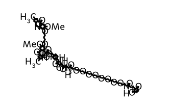 COc1cc2c(cc1OCCCCCOc1cc3c(cc1OC)C(=O)N1C=C(C)C[C@H]1[C@H](O)N3C(=O)OCc1ccc(NC(=O)[C@H](C)NC(=O)CNC(=O)CCOCCOCCOCCOCCOCCOCCOCCOCCNC(=O)CCN3C(=O)C=CC3=O)cc1)N=CC1CC(C)=CN1C2=O